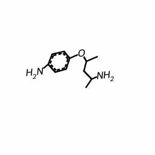 CC(N)CC(C)Oc1ccc(N)cc1